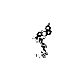 COC(=O)c1ccc2c(c1)N(C[C@@H]1CC[C@H]1[C@@H]1CC(CC[C@@H](C)S(N)(=O)=O)=NO1)CC1(CCCc3cc(Cl)ccc31)CO2